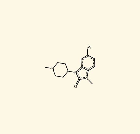 CC(C)c1ccc2c(c1)n(C1CCN(C)CC1)c(=O)n2C